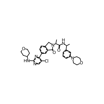 CC(NC(=O)C(C)N1Cc2ccc(-c3nc(NC4CCOCC4)ncc3Cl)cc2C1=O)c1cccc(N2CCOCC2)c1